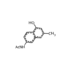 CC(=O)Nc1ccc2c(O)cc(C)cc2c1